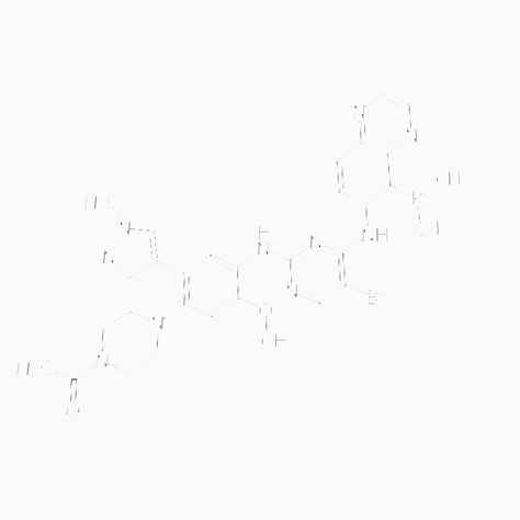 COc1cc(N2CCN(C(C)=O)CC2)c(-c2cnn(C)c2)cc1Nc1ncc(Br)c(Nc2ccc3nccnc3c2P(C)C)n1